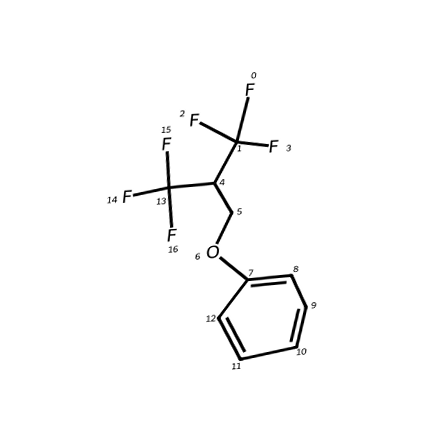 FC(F)(F)C(COc1ccccc1)C(F)(F)F